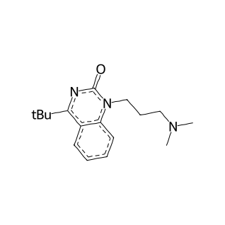 CN(C)CCCn1c(=O)nc(C(C)(C)C)c2ccccc21